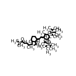 C=C1/C(=C/C=C2CCC[C@]3(C)[C@@H]([C@H](C)CCC(=O)N(C)C)CC[C@@H]23)C[C@@H](O[Si](C(C)C)(C(C)C)C(C)C)C[C@@H]1O[Si](C(C)C)(C(C)C)C(C)C